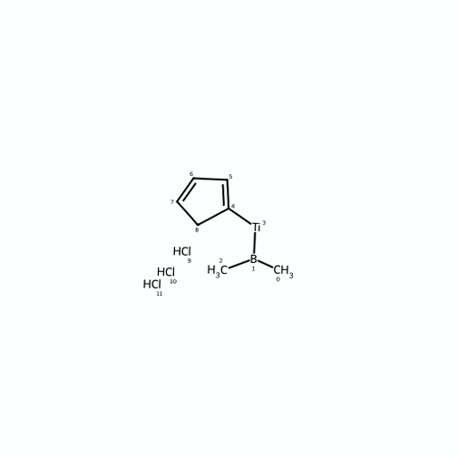 C[B](C)[Ti][C]1=CC=CC1.Cl.Cl.Cl